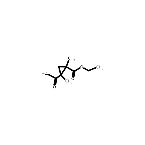 CCOC(=O)C1(C)CC1(C)C(=O)O